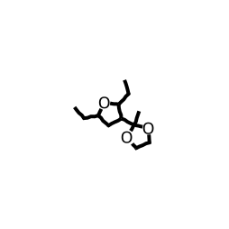 CCC1CC(C2(C)OCCO2)C(CC)O1